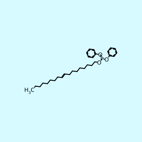 CCCCCCCCC=CCCCCCCCCOP(Oc1ccccc1)Oc1ccccc1